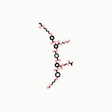 C=CC(=O)OCCCCCOc1ccc(C(=O)Oc2ccc(OC(=O)C3CCC(C(=O)Oc4ccc(OC(=O)C5=CCC=C(OCCCCOC=O)C=C5)c(C(=O)OCCOC(=O)C(=C)C)c4)CC3)cc2C(=O)OCCOC=O)cc1